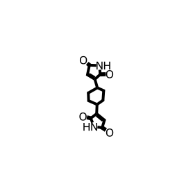 O=C1C=C(C2CCC(C3=CC(=O)NC3=O)CC2)C(=O)N1